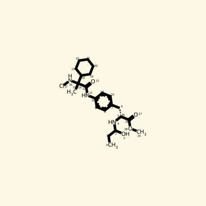 CCC(O)N[C@H](Cc1ccc(NC(=O)C(C)(NCl)C2CCCCC2)cc1)C(=O)OC